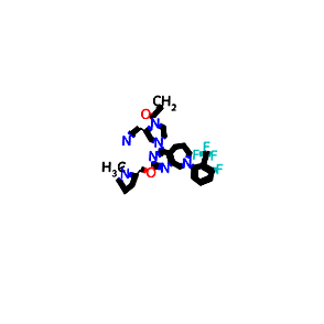 C=CC(=O)N1CCN(c2nc(OC[C@@H]3CCCN3C)nc3c2CCCN(c2cccc(F)c2C(F)(F)F)C3)C[C@@H]1CC#N